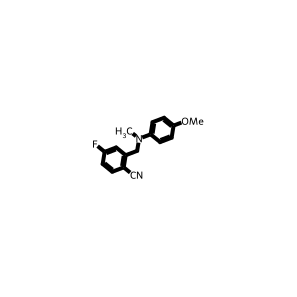 COc1ccc(N(C)Cc2cc(F)ccc2C#N)cc1